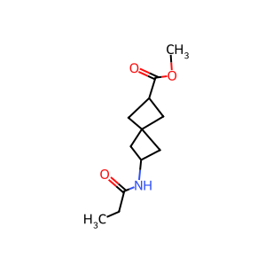 CCC(=O)NC1CC2(C1)CC(C(=O)OC)C2